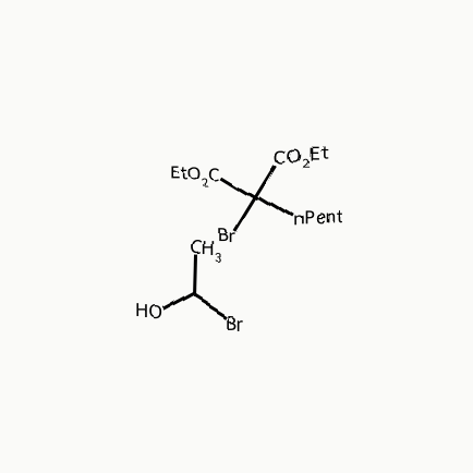 CC(O)Br.CCCCCC(Br)(C(=O)OCC)C(=O)OCC